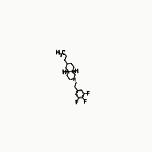 CCCC1CC[C@@H]2C[C@H](CCc3cc(F)c(F)c(F)c3)CC[C@@H]2C1